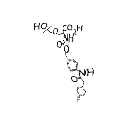 CC(C)(O)COCC(NC(=O)OCc1ccc(NC(=O)Cc2ccc(F)cc2)cc1)C(=O)O